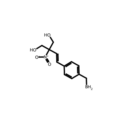 BCc1ccc(/C=C/C(CO)(CO)[N+](=O)[O-])cc1